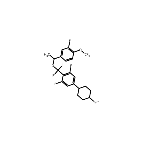 CCCC1CCC(c2cc(F)c(C(F)(F)OC(C)c3ccc(OC(F)(F)F)c(F)c3)c(F)c2)CC1